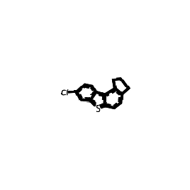 Clc1ccc2c(c1)sc1ccc3c(c12)CCC3